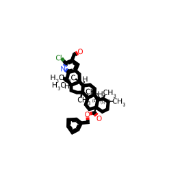 C[C@H]1[C@H](C)CC[C@]2(C(=O)OCc3ccccc3)CC[C@]3(C)C(=CC[C@@H]4[C@@]5(C)Cc6cc(C=O)c(Cl)nc6C(C)(C)[C@@H]5CC[C@]43C)[C@H]12